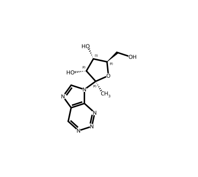 C[C@@]1(n2cnc3cnnnc32)O[C@H](CO)[C@@H](O)[C@H]1O